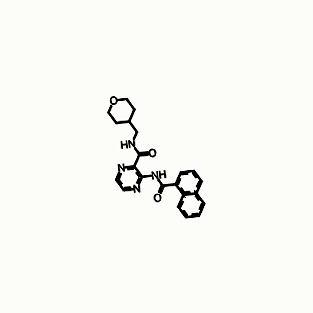 O=C(NCC1CCOCC1)c1nccnc1NC(=O)c1cccc2ccccc12